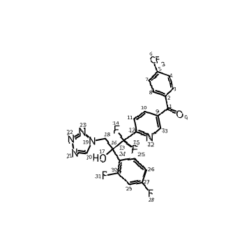 O=C(c1ccc(C(F)(F)F)cc1)c1ccc(C(F)(F)C(O)(Cn2cnnn2)c2ccc(F)cc2F)nc1